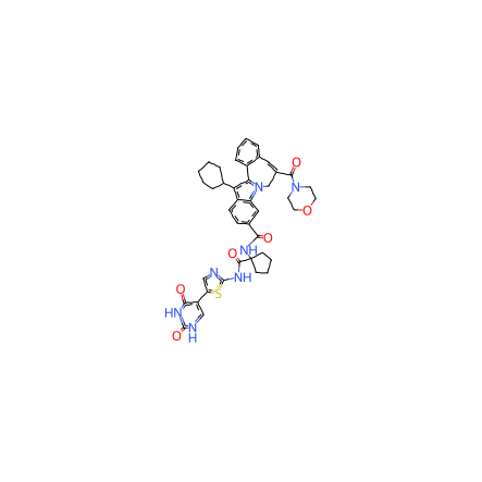 O=C(NC1(C(=O)Nc2ncc(-c3c[nH]c(=O)[nH]c3=O)s2)CCCC1)c1ccc2c(C3CCCCC3)c3n(c2c1)CC(C(=O)N1CCOCC1)=Cc1ccccc1-3